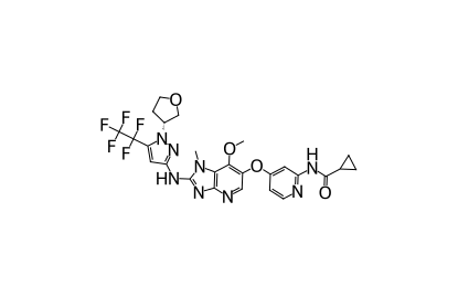 COc1c(Oc2ccnc(NC(=O)C3CC3)c2)cnc2nc(Nc3cc(C(F)(F)C(F)(F)F)n([C@@H]4CCOC4)n3)n(C)c12